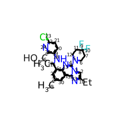 CCc1cn2c(N3CCC(F)(F)CC3)nc3c(C(C)Nc4ccc(Cl)nc4C(=O)O)cc(C)cc3c2n1